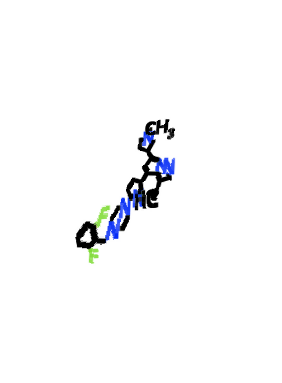 C#Cc1cnn2cc(C3CCN(C)C3)cc(-c3ccc(N4CCN(Cc5c(F)cccc5F)CC4)nc3)c12